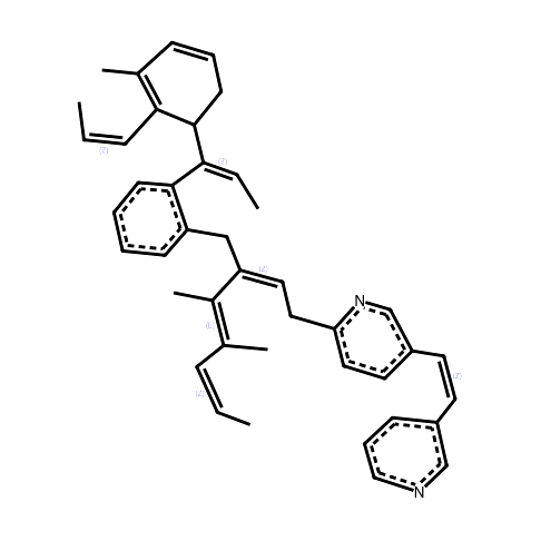 C/C=C\C1=C(C)C=CCC1/C(=C/C)c1ccccc1CC(=C/Cc1ccc(/C=C\c2cccnc2)cn1)/C(C)=C(C)/C=C\C